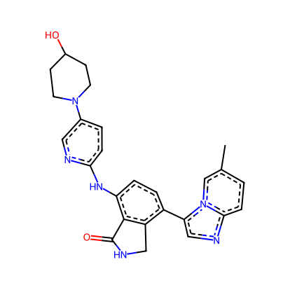 Cc1ccc2ncc(-c3ccc(Nc4ccc(N5CCC(O)CC5)cn4)c4c3CNC4=O)n2c1